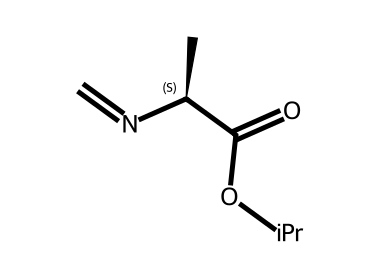 C=N[C@@H](C)C(=O)OC(C)C